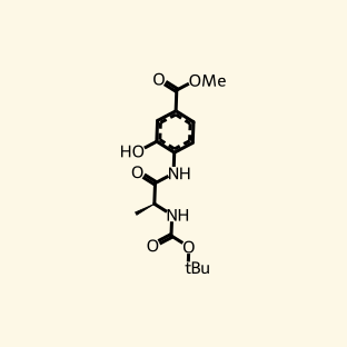 COC(=O)c1ccc(NC(=O)[C@H](C)NC(=O)OC(C)(C)C)c(O)c1